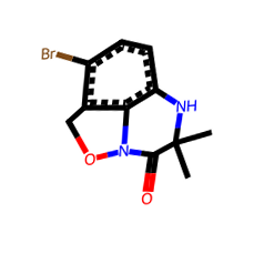 CC1(C)Nc2ccc(Br)c3c2N(OC3)C1=O